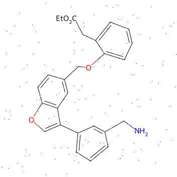 CCOC(=O)Cc1ccccc1OCc1ccc2occ(-c3cccc(CN)c3)c2c1